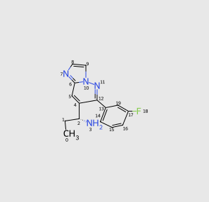 CC[C@@H](N)c1cc2nccn2nc1-c1cccc(F)c1